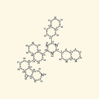 c1ccc2cc(-c3nc(-c4ccc5ccccc5c4)nc(-c4ccc(-c5cccc6oc7ccncc7c56)c5ccccc45)n3)ccc2c1